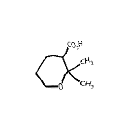 CC1(C)OCCCC1C(=O)O